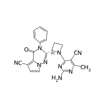 Cc1nc(N)nc(N2CC[C@H]2c2nn3ccc(C#N)c3c(=O)n2-c2ccccc2)c1C#N